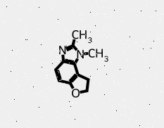 Cc1nc2ccc3c(c2n1C)CCO3